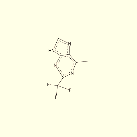 Cc1nc(C(F)(F)F)nc2[nH]cnc12